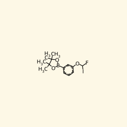 CC1(C)OB(c2cccc(OC(F)I)c2)OC1(C)C